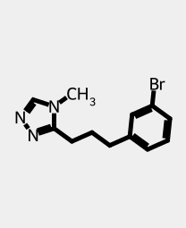 Cn1cnnc1CCCc1cccc(Br)c1